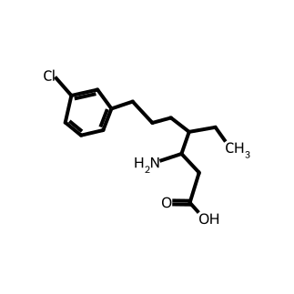 CCC(CCCc1cccc(Cl)c1)C(N)CC(=O)O